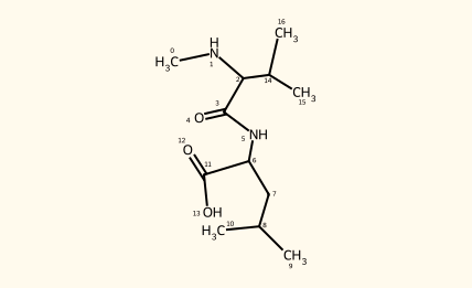 CNC(C(=O)NC(CC(C)C)C(=O)O)C(C)C